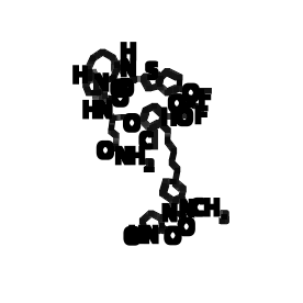 Cn1c(=O)n(C2CCC(=O)NC2=O)c2ccc(CCCCCc3cccc(OCC(CCC(N)=O)NC(=O)[C@@H]4CC[C@@H]5CCCC[C@H](NC(=O)c6cc7cc(OP(=O)(O)C(F)F)ccc7s6)C(=O)N54)c3Cl)cc21